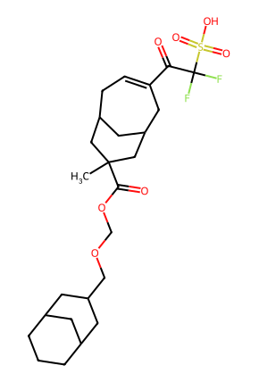 CC1(C(=O)OCOCC2CC3CCCC(C3)C2)CC2CC=C(C(=O)C(F)(F)S(=O)(=O)O)CC(C2)C1